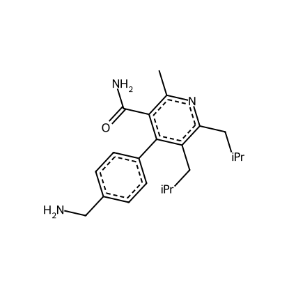 Cc1nc(CC(C)C)c(CC(C)C)c(-c2ccc(CN)cc2)c1C(N)=O